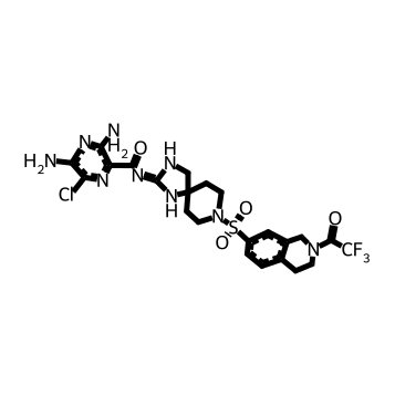 Nc1nc(N)c(C(=O)/N=C2\NCC3(CCN(S(=O)(=O)c4ccc5c(c4)CN(C(=O)C(F)(F)F)CC5)CC3)N2)nc1Cl